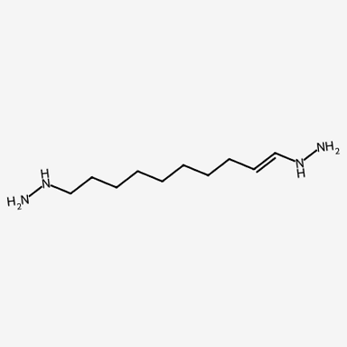 NNC=CCCCCCCCCNN